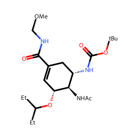 CCC(CC)O[C@@H]1C=C(C(=O)NCOC)C[C@H](NC(=O)OC(C)(C)C)[C@H]1NC(C)=O